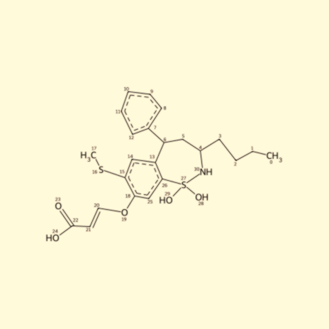 CCCCC1CC(c2ccccc2)c2cc(SC)c(O/C=C/C(=O)O)cc2S(O)(O)N1